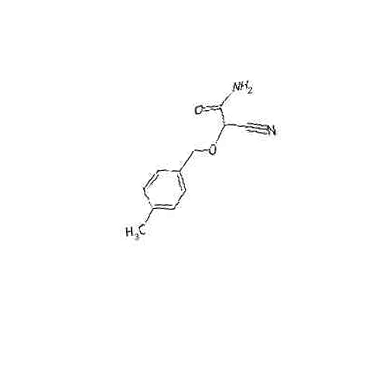 Cc1ccc(COC(C#N)C(N)=O)cc1